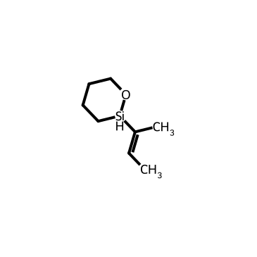 C/C=C(\C)[SiH]1CCCCO1